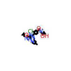 Cc1ccnc(Cn2c(-c3ccc(C(=O)N(C)CC4(O)CC4)cc3Cl)nc3c(OC4(C)CC4)ncnc32)c1